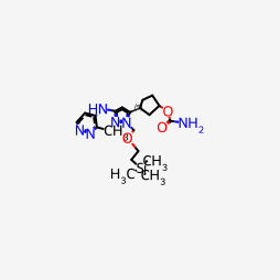 Cc1nnccc1Nc1cc([C@H]2CCC(OC(N)=O)C2)n(COCC[Si](C)(C)C)n1